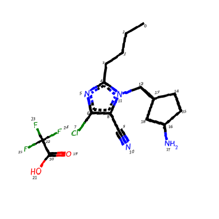 CCCCc1nc(Cl)c(C#N)n1CC1CCC(N)C1.O=C(O)C(F)(F)F